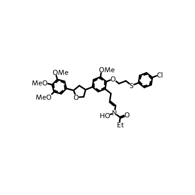 CCC(=O)N(O)C=CCc1cc(C2COC(c3cc(OC)c(OC)c(OC)c3)C2)cc(OC)c1OCCSc1ccc(Cl)cc1